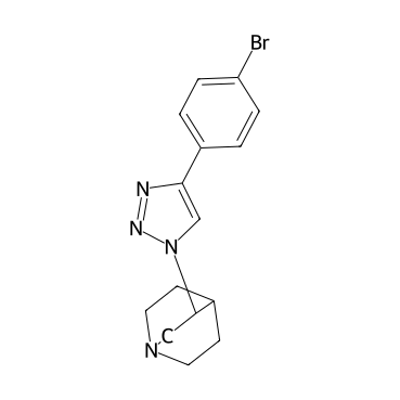 Brc1ccc(-c2cn(C3CN4CCC3CC4)nn2)cc1